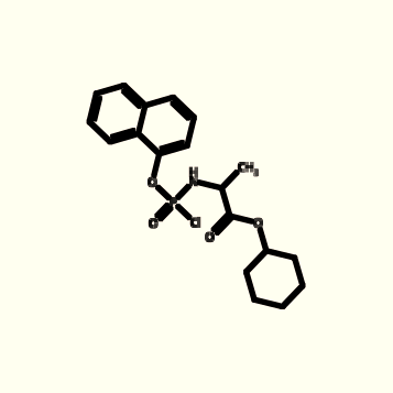 CC(NP(=O)(Cl)Oc1cccc2ccccc12)C(=O)OC1CCCCC1